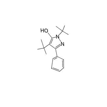 CC(C)(C)c1c(-c2ccccc2)nn(C(C)(C)C)c1O